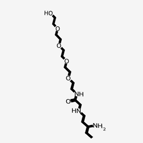 CCC(N)CCNCC(=O)NCCOCCOCCOCCOCCO